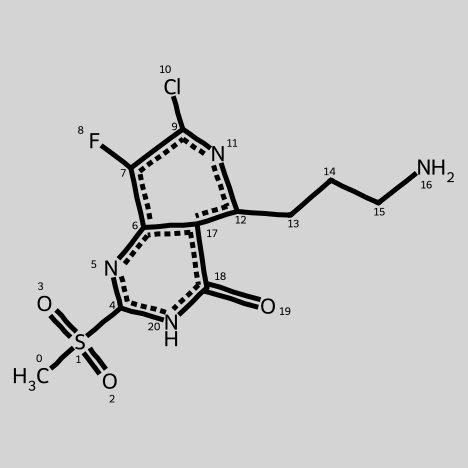 CS(=O)(=O)c1nc2c(F)c(Cl)nc(CCCN)c2c(=O)[nH]1